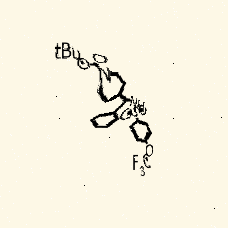 CC(C)(C)OC(=O)N1CCC(C(NS(=O)(=O)c2ccc(OC(F)(F)F)cc2)c2ccccc2)CC1